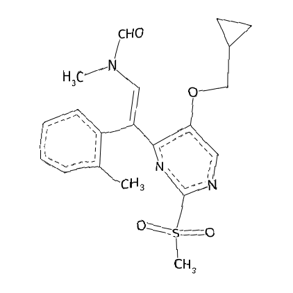 Cc1ccccc1/C(=C\N(C)C=O)c1nc(S(C)(=O)=O)ncc1OCC1CC1